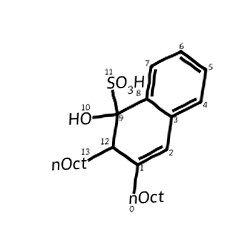 CCCCCCCCC1=Cc2ccccc2C(O)(S(=O)(=O)O)C1CCCCCCCC